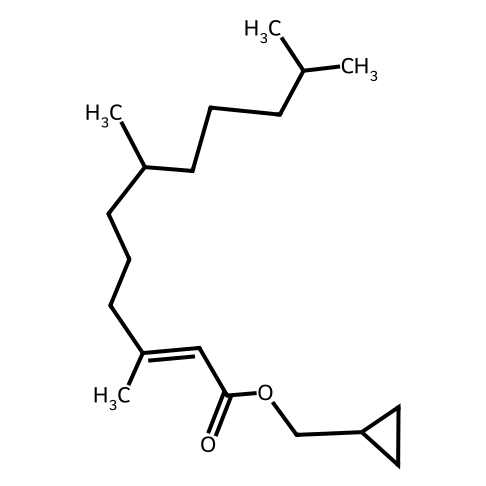 C/C(=C\C(=O)OCC1CC1)CCCC(C)CCCC(C)C